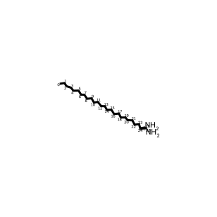 CCCCCCCCCCCCCCCCCCCCCCCCC=C(N)N